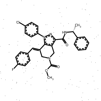 COC(=O)N1C/C(=C\c2ccc(F)cc2)c2c(c(C(=O)N[C@H](C)c3ccccc3)nn2-c2ccc(Cl)cc2)C1